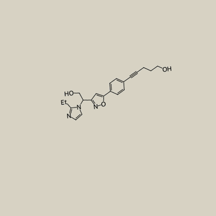 CCc1nccn1C(CO)c1cc(-c2ccc(C#CCCCO)cc2)on1